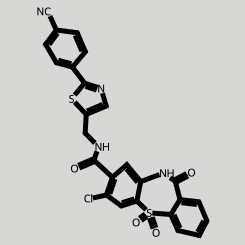 N#Cc1ccc(-c2ncc(CNC(=O)c3cc4c(cc3Cl)S(=O)(=O)c3ccccc3C(=O)N4)s2)cc1